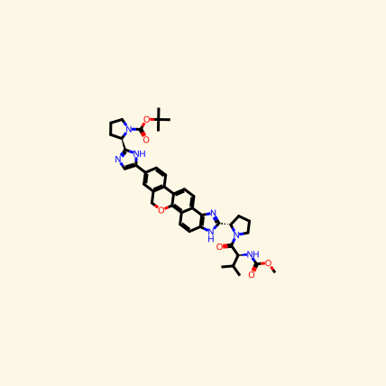 COC(=O)N[C@H](C(=O)N1CCC[C@H]1c1nc2c(ccc3c4c(ccc32)-c2ccc(-c3cnc([C@H]5CCCN5C(=O)OC(C)(C)C)[nH]3)cc2CO4)[nH]1)C(C)C